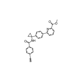 C#Cc1ccc(C(=O)NC2(c3ccc(-c4cccc(C(=O)OC)n4)cc3)CC2)cc1